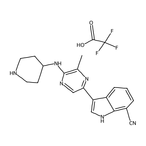 Cc1nc(-c2c[nH]c3c(C#N)cccc23)cnc1NC1CCNCC1.O=C(O)C(F)(F)F